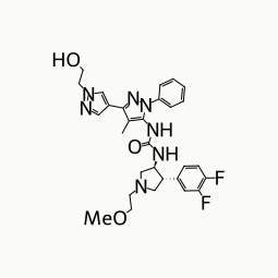 COCCN1C[C@@H](NC(=O)Nc2c(C)c(-c3cnn(CCO)c3)nn2-c2ccccc2)[C@H](c2ccc(F)c(F)c2)C1